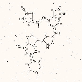 C[C@H](Oc1cc(NC2CNC(C3COC4C(=O)C=C(N5CCOCC5)OC43)S2)cc2c1CSN2)[C@@H]1CNC(=O)C1